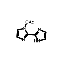 CC(=O)On1ccnc1-c1ncc[nH]1